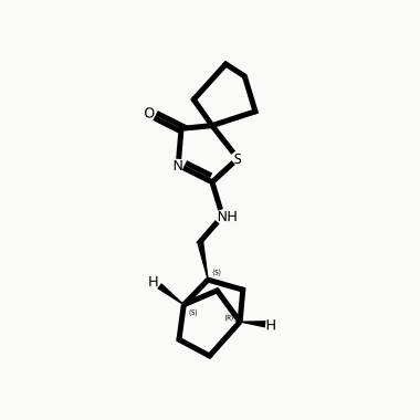 O=C1N=C(NC[C@H]2C[C@@H]3CC[C@H]2C3)SC12CCCC2